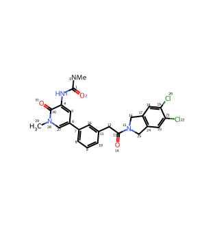 CNC(=O)Nc1cc(-c2cccc(CC(=O)N3Cc4cc(Cl)c(Cl)cc4C3)c2)cn(C)c1=O